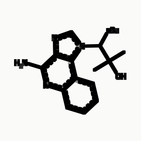 CCCCC(n1cnc2c(N)nc3ccccc3c21)C(C)(C)O